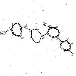 N#Cc1ccc(NC2CCCN(c3nc(-c4ccc(F)cc4)ccc3C#N)C2)nc1